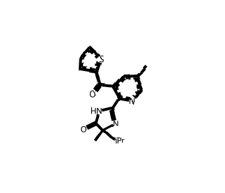 Cc1cnc(C2=NC(C)(C(C)C)C(=O)N2)c(C(=O)c2cccs2)c1